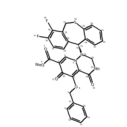 COC(=O)c1cn2c(c(OCc3ccccc3)c1=O)C(=O)NCN2[C@@H]1c2ccccc2SCc2c1ccc(F)c2F